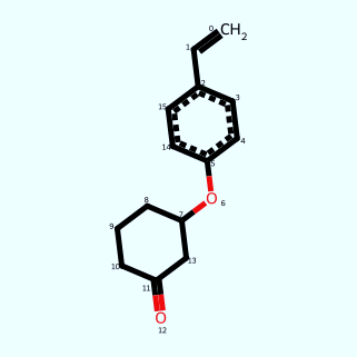 C=Cc1ccc(OC2CCCC(=O)C2)cc1